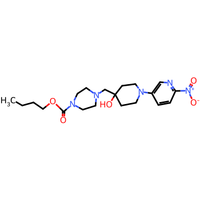 CCCCOC(=O)N1CCN(CC2(O)CCN(c3ccc([N+](=O)[O-])nc3)CC2)CC1